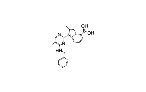 Cc1cnc(N2c3cccc(B(O)O)c3CC2C)nc1NCc1ccccc1